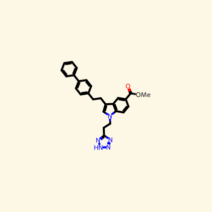 COC(=O)c1ccc2c(c1)c(CCc1ccc(-c3ccccc3)cc1)cn2CCc1nn[nH]n1